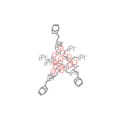 CC(C)C[Si]1(O[Si](C)(C)CCC2CC3C=CC2C3)O[Si]2(CC(C)C)O[Si](CC(C)C)(O[Si](C)(C)CCC3CC4C=CC3C4)O[Si]3(CC(C)C)O[Si](CC(C)C)(O[Si](C)(C)CCC4CC5C=CC4C5)O[Si](CC(C)C)(O1)O[Si](CC(C)C)(O2)O3